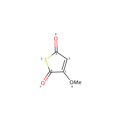 COC1=CC(=O)SC1=O